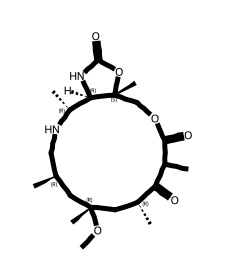 CO[C@]1(C)C[C@@H](C)CN[C@H](C)[C@H]2NC(=O)O[C@]2(C)COC(=O)C(C)C(=O)[C@H](C)C1